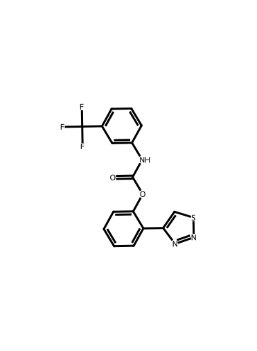 O=C(Nc1cccc(C(F)(F)F)c1)Oc1ccccc1-c1csnn1